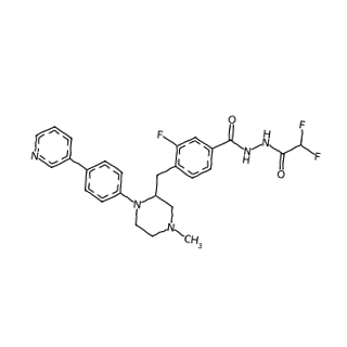 CN1CCN(c2ccc(-c3cccnc3)cc2)C(Cc2ccc(C(=O)NNC(=O)C(F)F)cc2F)C1